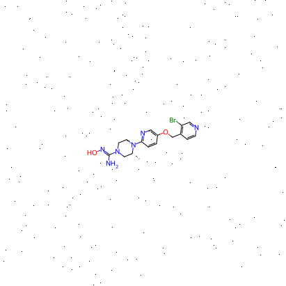 C[C@@H]1CN(/C(N)=N/O)CCN1c1ccc(OCc2ccncc2Br)cn1